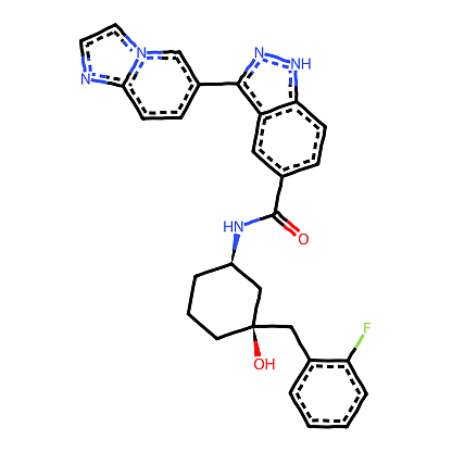 O=C(N[C@@H]1CCC[C@@](O)(Cc2ccccc2F)C1)c1ccc2[nH]nc(-c3ccc4nccn4c3)c2c1